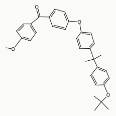 COc1ccc(C(=O)c2ccc(Oc3ccc(C(C)(C)c4ccc(OC(C)(C)C)cc4)cc3)cc2)cc1